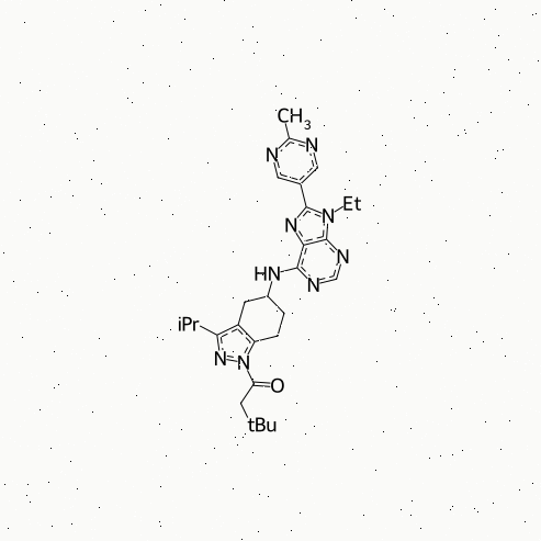 CCn1c(-c2cnc(C)nc2)nc2c(NC3CCc4c(c(C(C)C)nn4C(=O)CC(C)(C)C)C3)ncnc21